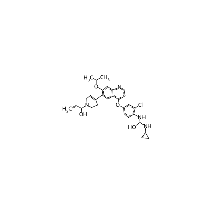 C=CC(O)N1CC=C(c2cc3c(Oc4ccc(NC(O)NC5CC5)c(Cl)c4)ccnc3cc2OC(C)C)CC1